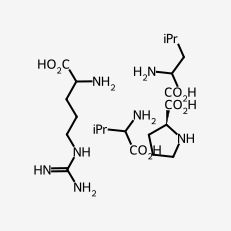 CC(C)C(N)C(=O)O.CC(C)CC(N)C(=O)O.N=C(N)NCCCC(N)C(=O)O.O=C(O)[C@@H]1CCCN1